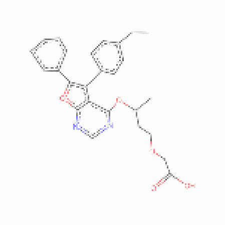 CCc1ccc(-c2c(-c3ccccc3)oc3ncnc(OC(C)CCOCC(=O)O)c23)cc1